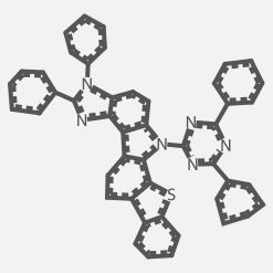 c1ccc(-c2nc(-c3ccccc3)nc(-n3c4ccc5c(nc(-c6ccccc6)n5-c5ccccc5)c4c4ccc5c6ccccc6sc5c43)n2)cc1